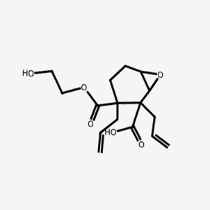 C=CCC1(C(=O)OCCO)CCC2OC2C1(CC=C)C(=O)O